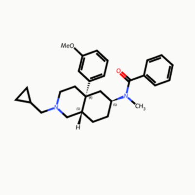 COc1cccc([C@@]23CCN(CC4CC4)C[C@H]2CC[C@H](N(C)C(=O)c2ccccc2)C3)c1